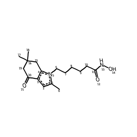 Cc1cc2c(n1CCCCCC(=O)NO)CC(C)(C)CC2=O